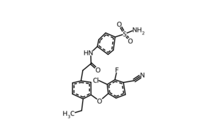 CCc1ccc(CC(=O)Nc2ccc(S(N)(=O)=O)cc2)cc1Oc1ccc(C#N)c(F)c1Cl